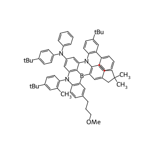 COCCCc1ccc2c(c1)B1c3cc4c(cc3N(c3ccc(C(C)(C)C)cc3-c3ccccc3)c3cc(N(c5ccccc5)c5ccc(C(C)(C)C)cc5)cc(c31)N2c1ccc(C(C)(C)C)cc1C)CC(C)(C)C4